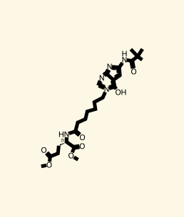 COC(=O)CC[C@H](NC(=O)CCCCCCn1cnc2nc(NC(=O)C(C)(C)C)cc-2c1O)C(=O)OC